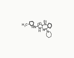 CCN1C(=O)[C@H](NC(=O)Nc2cccc(C)c2)N=C(N2CCCCCC2)c2ccccc21